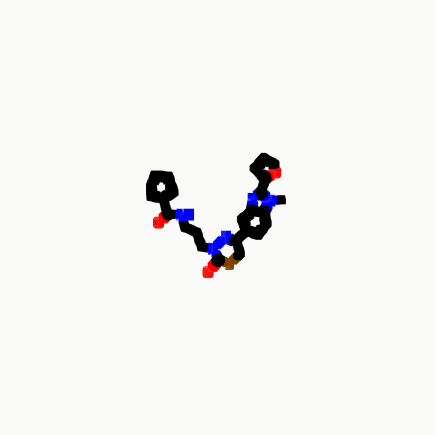 Cn1c(-c2ccco2)nc2cc(C3=NN(CCCNC(=O)c4ccccc4)C(=O)SC3)ccc21